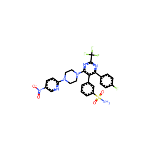 NS(=O)(=O)c1cccc(-c2c(-c3ccc(F)cc3)nc(C(F)(F)F)nc2N2CCN(c3ccc([N+](=O)[O-])cn3)CC2)c1